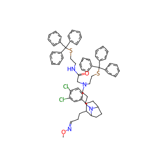 CON=CCCC1C(c2ccc(Cl)c(Cl)c2)CC2CCC1N2CCCN(CCSC(c1ccccc1)(c1ccccc1)c1ccccc1)CC(=O)NCCSC(c1ccccc1)(c1ccccc1)c1ccccc1